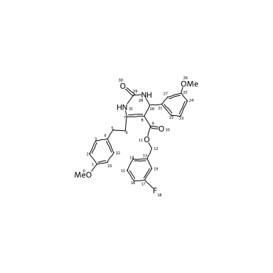 COc1ccc(CCC2=C(C(=O)OCc3cccc(F)c3)C(c3cccc(OC)c3)NC(=O)N2)cc1